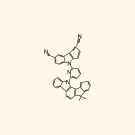 CC1(C)c2ccccc2-c2c1ccc1c3ccccc3n(-c3cccc(-n4c5ccc(C#N)cc5c5cc(C#N)ccc54)n3)c21